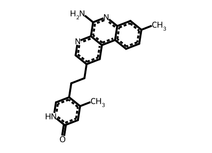 Cc1ccc2c(c1)nc(N)c1ncc(CCc3c[nH]c(=O)cc3C)cc12